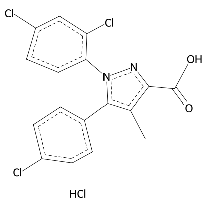 Cc1c(C(=O)O)nn(-c2ccc(Cl)cc2Cl)c1-c1ccc(Cl)cc1.Cl